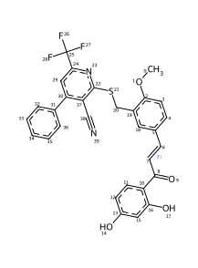 COc1ccc(/C=C/C(=O)c2ccc(O)cc2O)cc1CSc1nc(C(F)(F)F)cc(-c2ccccc2)c1C#N